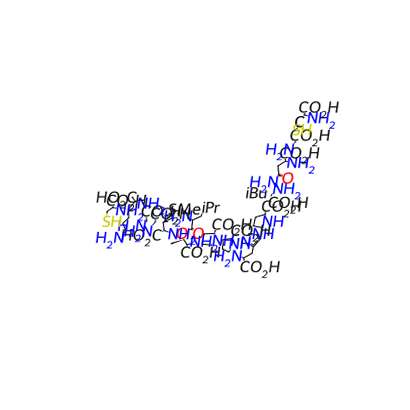 CC(C)C[C@H](N)C(=O)O[C@H](C)[C@H](N)C(=O)O.CC[C@H](C)[C@H](N)C(=O)O.CSCC[C@H](N)C(=O)O.NC(=O)C[C@H](N)C(=O)O.NCC(=O)O.NCC(=O)O.NCC(=O)O.NCCCC[C@H](N)C(=O)O.N[C@@H](CS)C(=O)O.N[C@@H](CS)C(=O)O.N[C@@H](Cc1c[nH]cn1)C(=O)O.O=C(O)[C@@H]1CCCN1.O=C(O)[C@@H]1CCCN1.O=C(O)[C@@H]1CCCN1